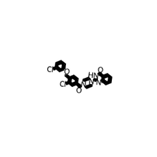 O=C(c1ccc(COc2cccc(Cl)c2)c(Cl)c1)N1CCN(c2nc3ccccc3c(=O)[nH]2)CC1